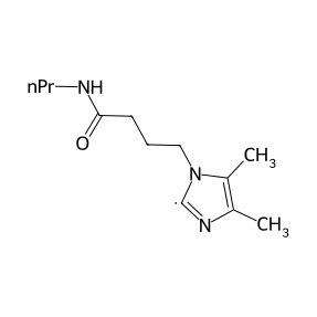 CCCNC(=O)CCCn1[c]nc(C)c1C